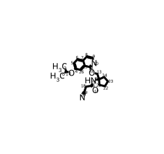 CC(C)Oc1ccc2ccnc(OCC3(NC(=O)CC#N)CCCC3)c2c1